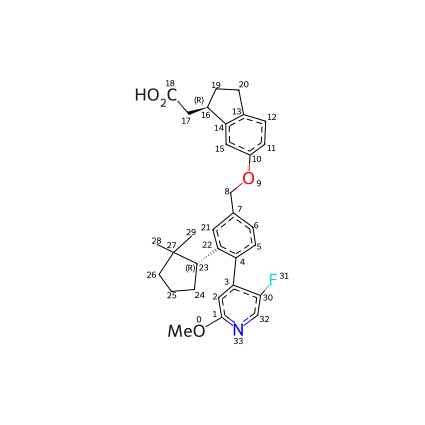 COc1cc(-c2ccc(COc3ccc4c(c3)[C@@H](CC(=O)O)CC4)cc2[C@@H]2CCCC2(C)C)c(F)cn1